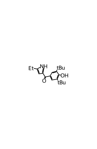 CCc1cc(C(=O)c2cc(C(C)(C)C)c(O)c(C(C)(C)C)c2)c[nH]1